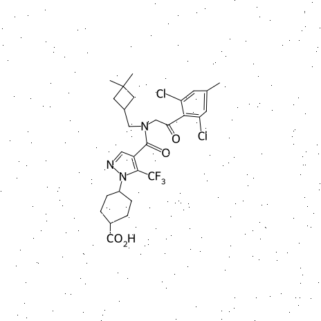 Cc1cc(Cl)c(C(=O)CN(CC2CC(C)(C)C2)C(=O)c2cnn(C3CCC(C(=O)O)CC3)c2C(F)(F)F)c(Cl)c1